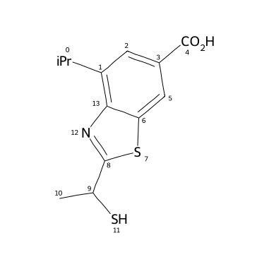 CC(C)c1cc(C(=O)O)cc2sc(C(C)S)nc12